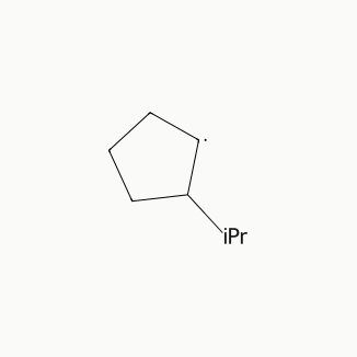 CC(C)C1[CH]CCC1